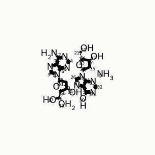 N.Nc1ncnc2c1ncn2[C@H]1C[C@H](O)[C@@H](CO)O1.O.OC[C@H]1O[C@@H](n2cnc3c(O)ncnc32)C[C@@H]1O